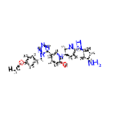 COc1ccc(Cn2nnnc2-c2ccc(=O)n(-c3ccc(N[C@H]4CC[C@H](N)C4)nc3)c2)cc1